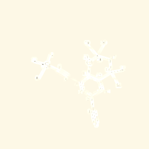 C#Cc1cc(C#C[Si](C)(C)C)c2c(c1)C(C)(C)CC(C)(C)O2